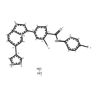 Cl.Cl.O=C(Nc1ccc(F)cn1)c1ccc(-c2cnc3ccc(-c4cn[nH]c4)cn23)cc1F